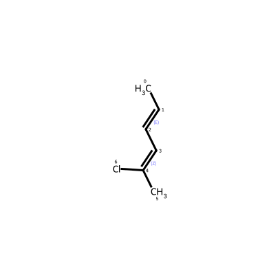 C/C=C/C=C(/C)Cl